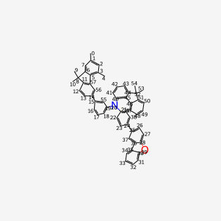 Cc1cc(C)c2c(c1)C(C)(C)c1ccc(-c3cccc(N(c4ccc(-c5ccc6oc7ccccc7c6c5)cc4)c4cccc5c4-c4ccccc4C5(C)C)c3)cc1-2